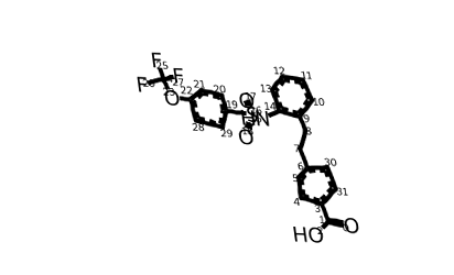 O=C(O)c1ccc(CCc2ccccc2NS(=O)(=O)c2ccc(OC(F)(F)F)cc2)cc1